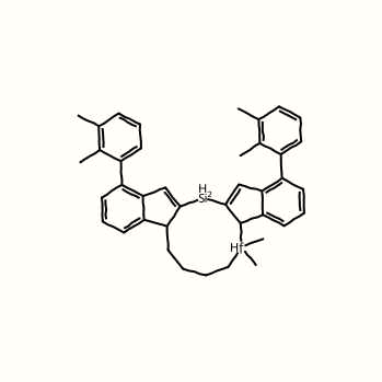 Cc1cccc(-c2cccc3c2C=C2[SiH2]C4=Cc5c(-c6cccc(C)c6C)cccc5[CH]4[Hf]([CH3])([CH3])[CH2]CCCC23)c1C